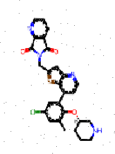 Cc1cc(Cl)cc(-c2ccnc3cc(CN4C(=O)c5cccnc5C4=O)sc23)c1O[C@H]1CCCNC1